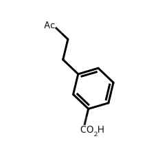 CC(=O)CCc1cccc(C(=O)O)c1